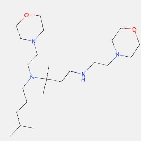 CC(C)CCCN(CCN1CCOCC1)C(C)(C)CCNCCN1CCOCC1